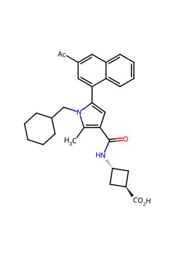 CC(=O)c1cc(-c2cc(C(=O)N[C@H]3C[C@H](C(=O)O)C3)c(C)n2CC2CCCCC2)c2ccccc2c1